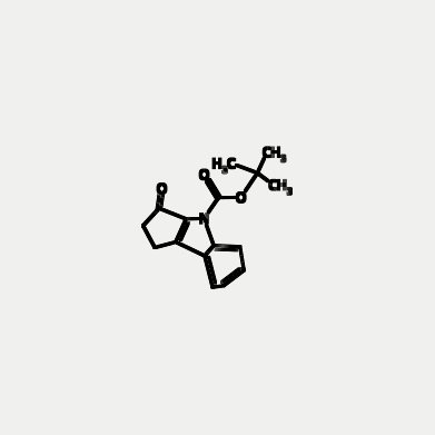 CC(C)(C)OC(=O)n1c2c(c3ccccc31)CCC2=O